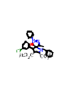 CCOC(=O)C1=C(C(=O)OCC)N(Cc2ccccc2)C2(C(=O)N(c3ccccc3)N=C2C)C1c1cccc(Cl)c1